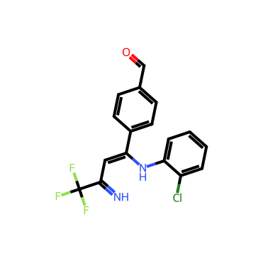 N=C(/C=C(\Nc1ccccc1Cl)c1ccc(C=O)cc1)C(F)(F)F